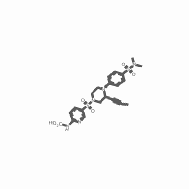 CC#CC1CN(S(=O)(=O)c2ccc(NC(=O)O)nc2)CCN1c1ccc(S(=O)(=O)N(C)C)cc1